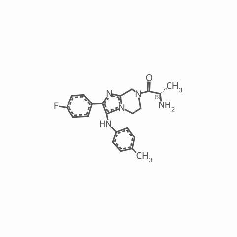 Cc1ccc(Nc2c(-c3ccc(F)cc3)nc3n2CCN(C(=O)[C@H](C)N)C3)cc1